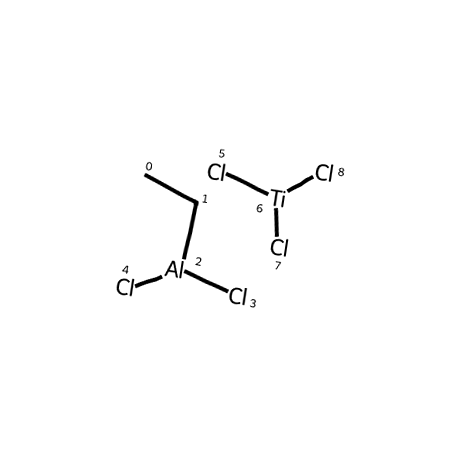 C[CH2][Al]([Cl])[Cl].[Cl][Ti]([Cl])[Cl]